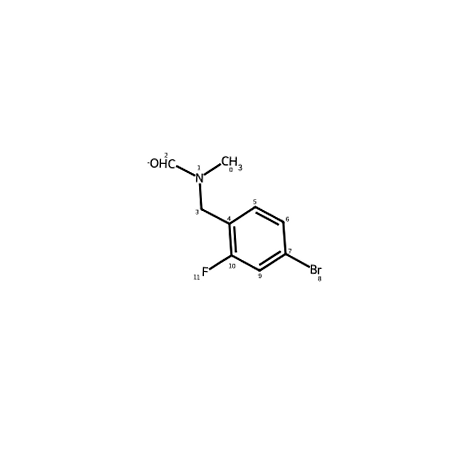 CN([C]=O)Cc1ccc(Br)cc1F